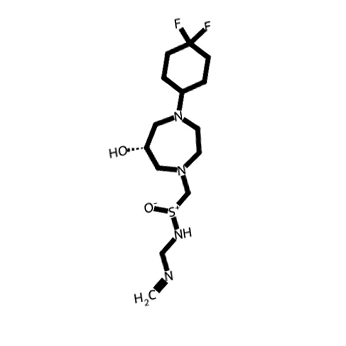 C=NCN[S+]([O-])CN1CCN(C2CCC(F)(F)CC2)C[C@@H](O)C1